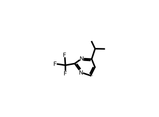 CC(C)c1c[c]nc(C(F)(F)F)n1